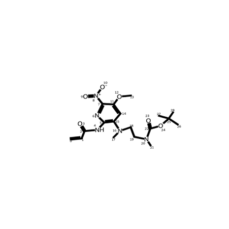 C=CC(=O)Nc1nc([N+](=O)[O-])c(OC)cc1N(C)CCN(C)C(=O)OC(C)(C)C